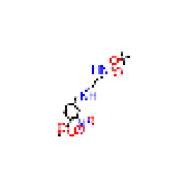 COC(=O)c1ccc(CNCCCCNC(=O)OC(C)(C)C)cc1[N+](=O)[O-]